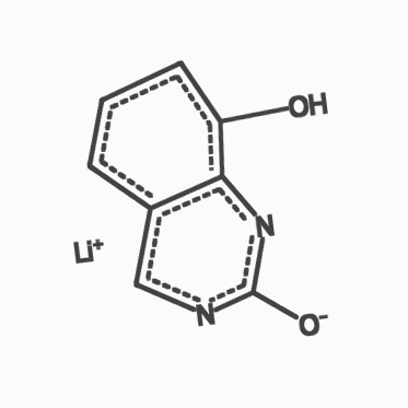 [Li+].[O-]c1ncc2cccc(O)c2n1